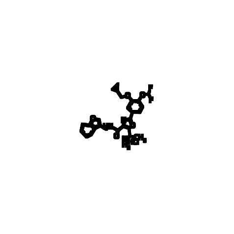 CC(N)c1oc(-c2ccc(OC(F)F)c(OCC3CC3)c2)nc1C(=O)NCc1coc2ccccc12.Cl